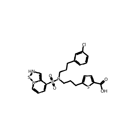 O=C(O)c1ccc(CCCN(CCCc2cccc(Cl)c2)S(=O)(=O)C2=CC=CN3SNC=C23)s1